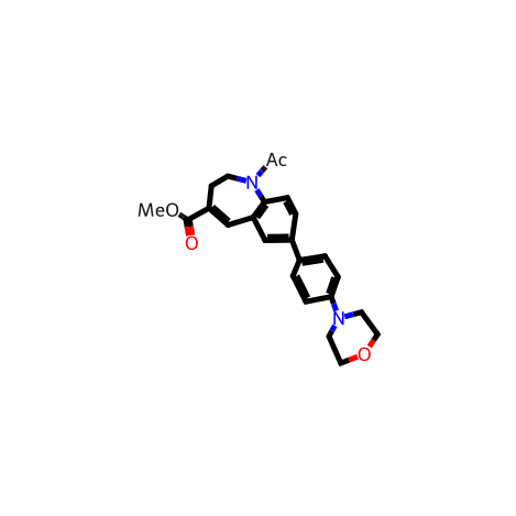 COC(=O)C1=Cc2cc(-c3ccc(N4CCOCC4)cc3)ccc2N(C(C)=O)CC1